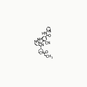 C=CC(=O)N1CCCC(c2nc(-c3ccc(C(=O)Nc4ccccn4)cc3C#N)n3c(N)nccc23)C1